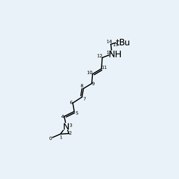 CC1CN1/C=C/C/C=C/C/C=C/CNCC(C)(C)C